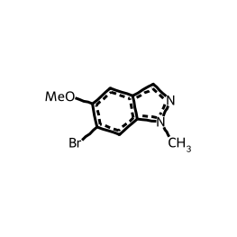 COc1cc2cnn(C)c2cc1Br